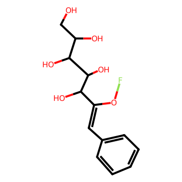 OCC(O)C(O)C(O)C(O)C(=Cc1ccccc1)OF